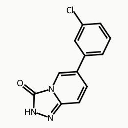 O=c1[nH]nc2ccc(-c3cccc(Cl)c3)cn12